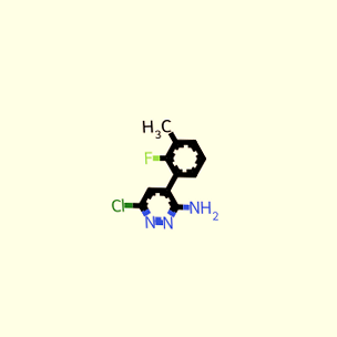 Cc1cccc(-c2cc(Cl)nnc2N)c1F